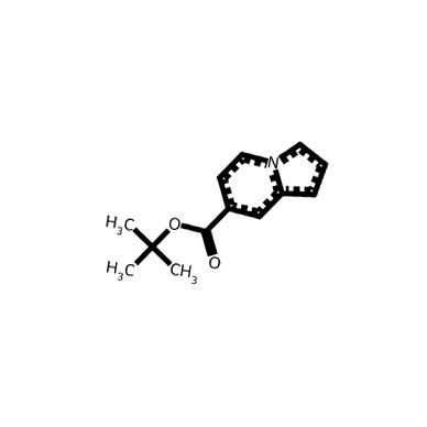 CC(C)(C)OC(=O)c1ccn2cccc2c1